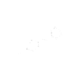 [CH2]CCCCCc1ccc(OCc2ccccn2)cc1